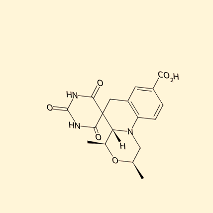 C[C@@H]1CN2c3ccc(C(=O)O)cc3CC3(C(=O)NC(=O)NC3=O)[C@H]2[C@H](C)O1